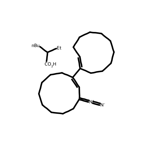 CCCCC(CC)C(=O)O.[N-]=[N+]=C1/C=C(/C2=C\CCCCCCCCC2)CCCCCCCC1